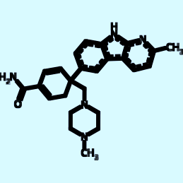 Cc1ccc2c(n1)[nH]c1ccc(C3(CN4CCN(C)CC4)C=CC(C(N)=O)=CC3)cc12